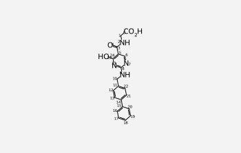 O=C(O)CNC(=O)c1cnc(NCc2ccc(-c3ccccc3)cc2)nc1O